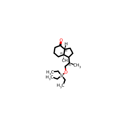 CC[Si](CC)(CC)OC[C@H](C)C1CC[C@H]2C(=O)CCC[C@]12C